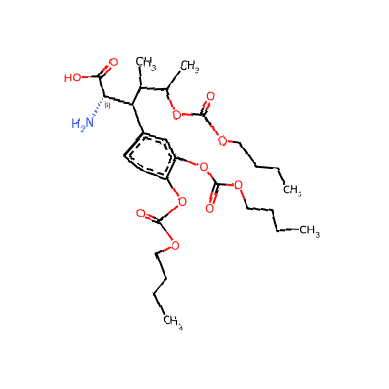 CCCCOC(=O)Oc1ccc(C(C(C)C(C)OC(=O)OCCCC)[C@H](N)C(=O)O)cc1OC(=O)OCCCC